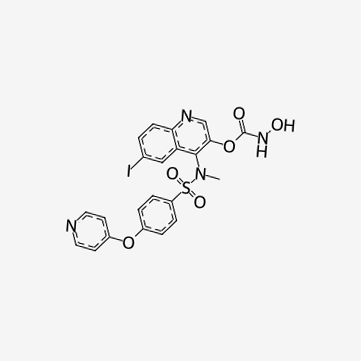 CN(c1c(OC(=O)NO)cnc2ccc(I)cc12)S(=O)(=O)c1ccc(Oc2ccncc2)cc1